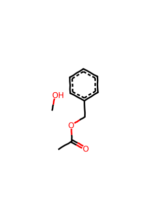 CC(=O)OCc1ccccc1.CO